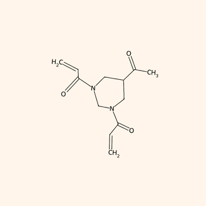 C=CC(=O)N1CC(C(C)=O)CN(C(=O)C=C)C1